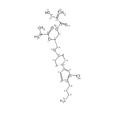 C=C(C)C(=O)OC(COC(=O)C(=C)CO)COC1CCC(c2ccc(CCCC)c(Cl)c2)CC1